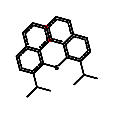 CC(C)c1ccc2ccccc2c1Sc1c(C(C)C)ccc2ccccc12